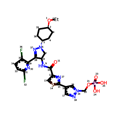 CCO[C@H]1CC[C@H](N2CC(NC(=O)c3csc(-c4cnn(COP(=O)(O)O)c4)n3)C(c3nc(F)ccc3F)=N2)CC1